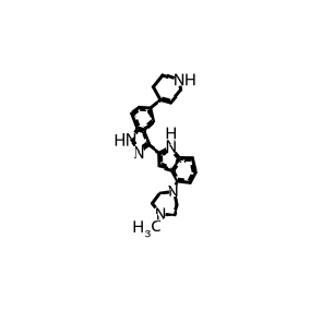 CN1CCN(c2cccc3[nH]c(-c4n[nH]c5ccc(C6=CCNCC6)cc45)cc23)CC1